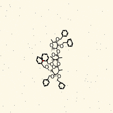 CC1C(OCc2ccccc2)[C@H](OCc2ccccc2)[C@H](COCc2ccccc2)O[C@@H]1O[C@@H]1C(C)[C@H](OC2[C@H](C)OC(C)[C@H](OCc3ccccc3)[C@@H]2OCc2ccccc2)OC(C)[C@@H]1OCc1ccccc1